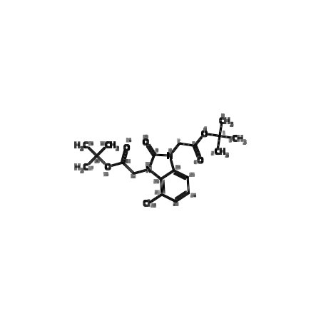 CC(C)(C)OC(=O)Cn1c(=O)n(CC(=O)OC(C)(C)C)c2c(Cl)cccc21